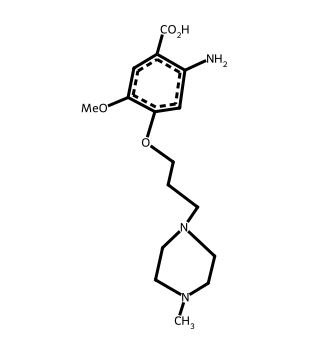 COc1cc(C(=O)O)c(N)cc1OCCCN1CCN(C)CC1